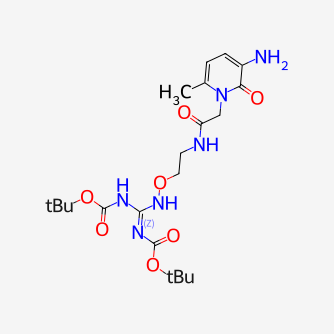 Cc1ccc(N)c(=O)n1CC(=O)NCCON/C(=N\C(=O)OC(C)(C)C)NC(=O)OC(C)(C)C